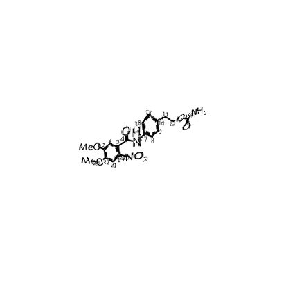 COc1cc(C(=O)Nc2ccc(CCOC(N)=O)cc2)c([N+](=O)[O-])cc1OC